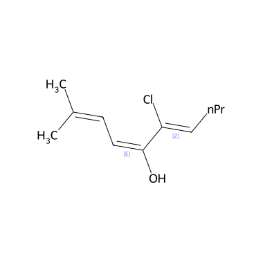 CCC/C=C(Cl)/C(O)=C\C=C(C)C